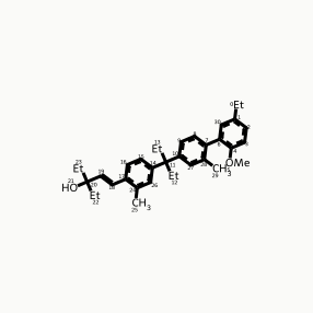 CCc1ccc(OC)c(-c2ccc(C(CC)(CC)c3ccc(/C=C/C(O)(CC)CC)c(C)c3)cc2C)c1